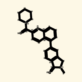 CN1Cc2cc(-c3cccc4nc(C(=O)N5CCCCC5)ccc34)ccc2C1=O